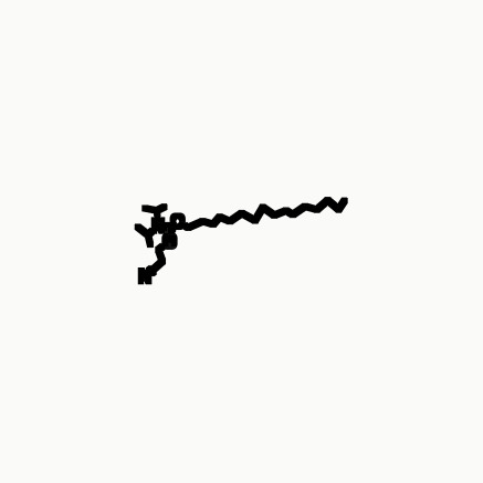 CCCCCCCCCCCCCCCCOP(OCCC#N)N(C(C)C)C(C)C